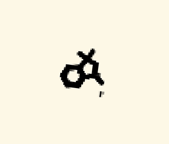 C[N+]1=CC(C)(C)c2ccccc21.[I-]